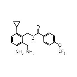 NCc1c(N)ccc(C2CC2)c1CNC(=O)c1ccc(OC(F)(F)F)cc1